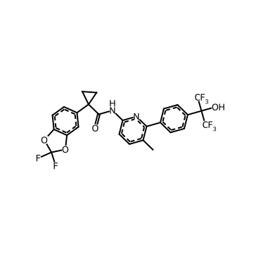 Cc1ccc(NC(=O)C2(c3ccc4c(c3)OC(F)(F)O4)CC2)nc1-c1ccc(C(O)(C(F)(F)F)C(F)(F)F)cc1